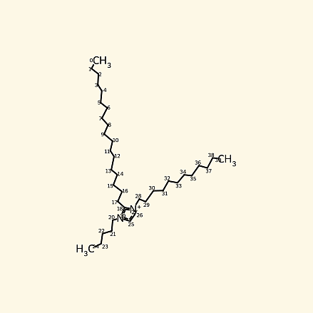 CCCCCCCCCCCCCCCCCCc1n(CCCCC)cc[n+]1CCCCCCCCCCCC